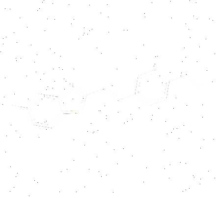 OCc1ccc(/C=C/c2nc3cc(F)ccc3s2)cc1